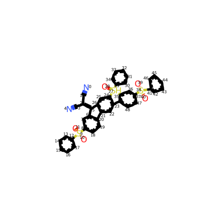 N#CC(C#N)=C1c2cc(S(=O)(=O)c3ccccc3)ccc2-c2cc3c(cc21)[SH](=O)(c1ccccc1)c1cc(S(=O)(=O)c2ccccc2)ccc1-3